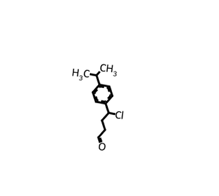 CC(C)c1ccc(C(Cl)CCC=O)cc1